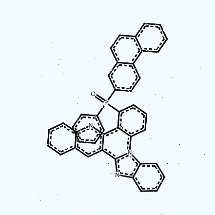 O=P(c1ccccc1)(c1ccc2c(ccc3ccccc32)c1)c1cccc2c1c1nc3ccccc3cc1c1nc3ccccc3n21